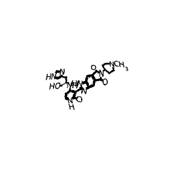 CN1CCC(N2C(=O)c3cc4nc(-c5c(N[C@@H](CO)Cc6c[nH]cn6)cc[nH]c5=O)[nH]c4cc3C2=O)CC1